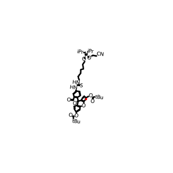 CC(C)N(C(C)C)P(OCCC#N)OCCCCCCCNC(=S)Nc1ccc2c(c1)C(=O)OC21c2ccc(OC(=O)C(C)(C)C)cc2Oc2cc(OC(=O)C(C)(C)C)ccc21